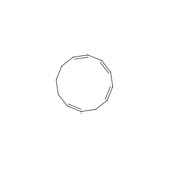 [C]1=CCCCC=CC=CC=CC1